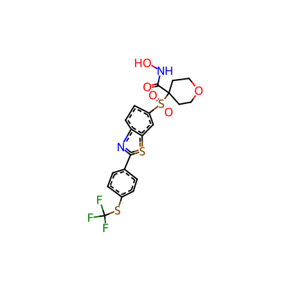 O=C(NO)C1(S(=O)(=O)c2ccc3nc(-c4ccc(SC(F)(F)F)cc4)sc3c2)CCOCC1